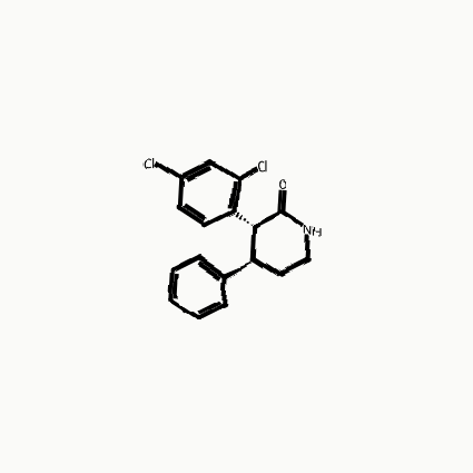 O=C1NCC[C@@H](c2ccccc2)[C@@H]1c1ccc(Cl)cc1Cl